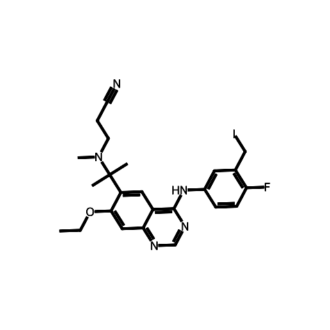 CCOc1cc2ncnc(Nc3ccc(F)c(CI)c3)c2cc1C(C)(C)N(C)CCC#N